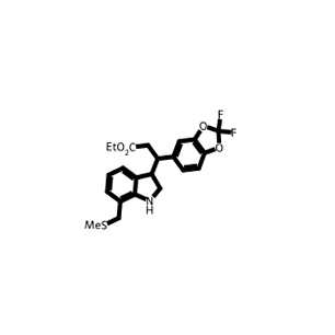 CCOC(=O)CC(c1ccc2c(c1)OC(F)(F)O2)C1CNc2c(CSC)cccc21